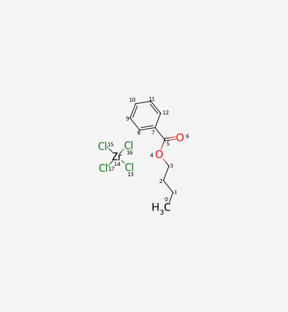 CCCCOC(=O)c1ccccc1.[Cl][Zr]([Cl])([Cl])[Cl]